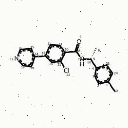 Cc1ccc([C@@H](C)NC(=O)c2ccc(-c3ccncc3)cc2Cl)cc1